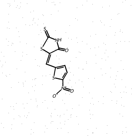 O=C1NC(=S)S/C1=C/c1ccc([N+](=O)[O-])s1